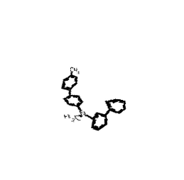 Cc1ccc(-c2ccc(N(C)c3cccc(-c4ccccc4)c3)cc2)cc1